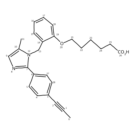 CC#Cc1ccc(-c2ncc(C)n2Cc2ccccc2OCCCCCC(=O)O)cc1